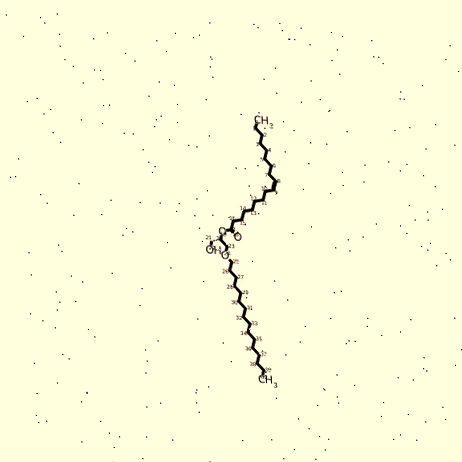 CCCCCCCC/C=C\CCCCCCCC(=O)O[C@@H](CO)COCCCCCCCCCCCCCCCC